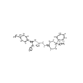 O=C1OC(CCN2CCC(O)(c3ccccc3)CC2)CN1c1ccc(F)cc1